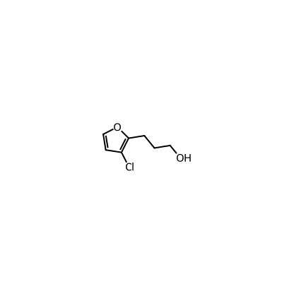 OCCCc1occc1Cl